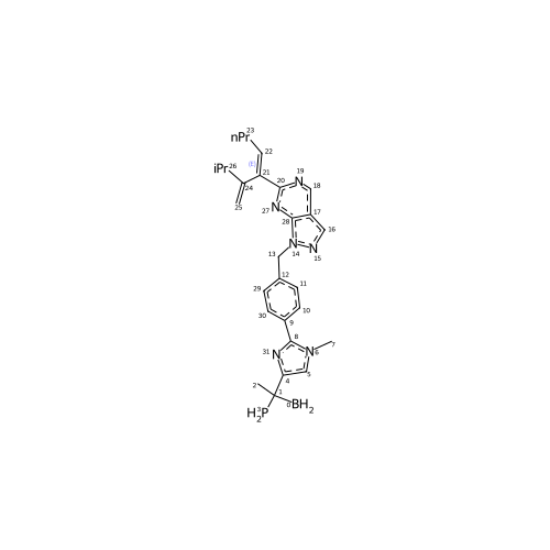 BC(C)(P)c1cn(C)c(-c2ccc(Cn3ncc4cnc(/C(=C/CCC)C(=C)C(C)C)nc43)cc2)n1